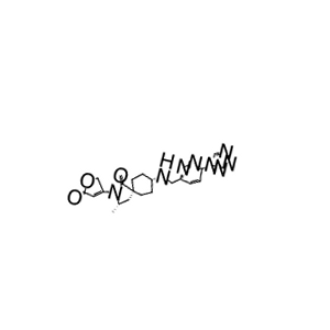 C[C@H]1C[C@]2(CC[C@@H](NCc3ccc(-n4cnnn4)nn3)CC2)C(=O)N1C1=CC(=O)OC1